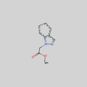 CC(C)OC(=O)Cn1ncc2ccccc21